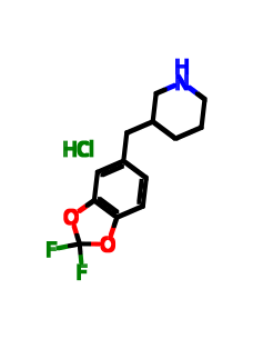 Cl.FC1(F)Oc2ccc(CC3CCCNC3)cc2O1